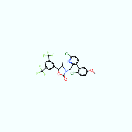 COc1ccc(Cl)c(-c2ccc(Cl)nc2CN2C(=O)OC(c3cc(C(F)(F)F)cc(C(F)(F)F)c3)C2C)c1